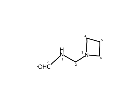 O=[C]NCN1CCC1